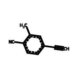 C#Cc1ccc(C#N)c(C)c1